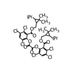 CC(C)C1C(COC(=O)c2c(Cl)c(Cl)cc(Cl)c2OC(=O)C(=O)Oc2c(Cl)cc(Cl)c(Cl)c2C(=O)OCC2C(C(C)C)C2(C)C)C1(C)C